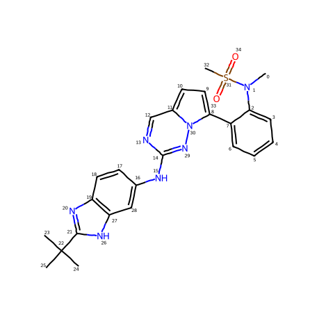 CN(c1ccccc1-c1ccc2cnc(Nc3ccc4nc(C(C)(C)C)[nH]c4c3)nn12)S(C)(=O)=O